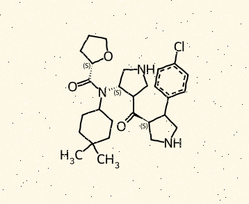 CC1(C)CCC(N(C(=O)[C@@H]2CCCO2)[C@@H]2CNCC2C(=O)[C@@H]2CNCC2c2ccc(Cl)cc2)CC1